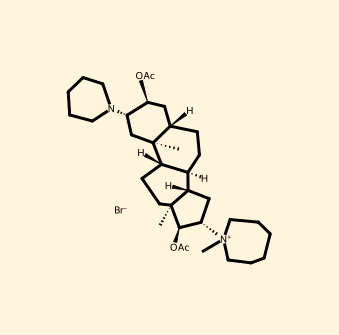 CC(=O)O[C@H]1C[C@@H]2CC[C@@H]3[C@H](CC[C@]4(C)[C@H](OC(C)=O)[C@@H]([N+]5(C)CCCCCC5)C[C@@H]34)[C@@]2(C)C[C@@H]1N1CCCCC1.[Br-]